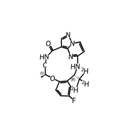 [2H]C([2H])([2H])[C@H]1Nc2ccn3ncc(c3n2)C(=O)NC[C@H](C)Oc2ccc(F)cc21